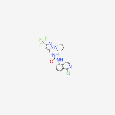 O=C(NCc1cc(C(F)(F)F)nn1N1CCCCC1)Nc1cccc2c(Cl)nccc12